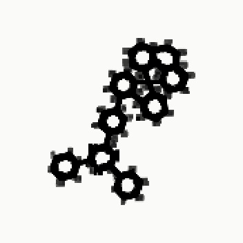 c1ccc(-c2nc(-c3ccccc3)nc(-c3ccc(-c4cccc5c4-c4ccccc4C54c5cccc6ccc7cccc4c7c56)cc3)n2)cc1